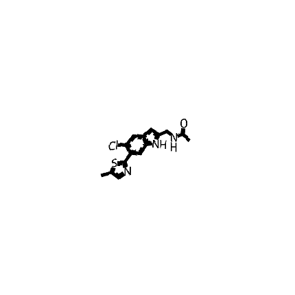 CC(=O)NCc1cc2cc(Cl)c(-c3ncc(C)s3)cc2[nH]1